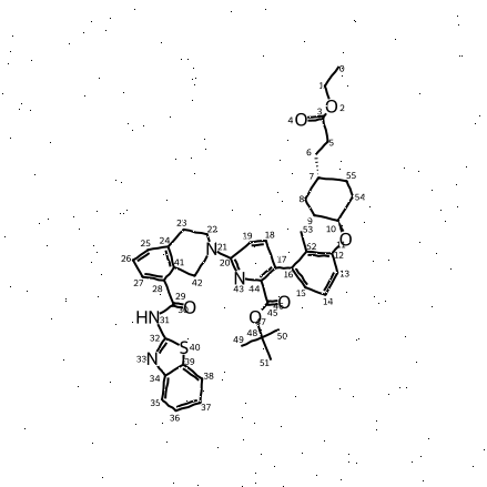 CCOC(=O)CC[C@H]1CC[C@H](Oc2cccc(-c3ccc(N4CCc5cccc(C(=O)Nc6nc7ccccc7s6)c5C4)nc3C(=O)OC(C)(C)C)c2C)CC1